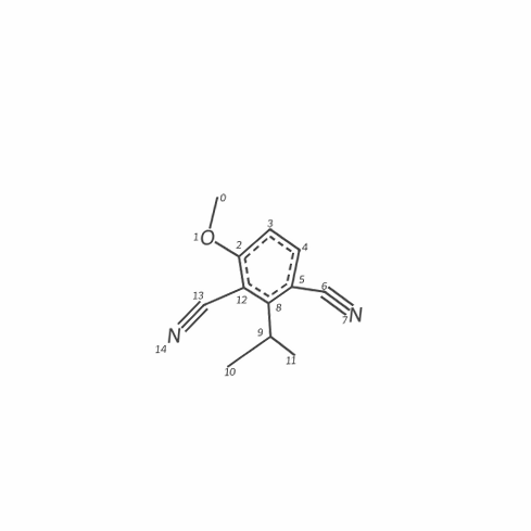 COc1ccc(C#N)c(C(C)C)c1C#N